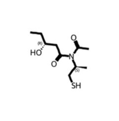 CC[C@@H](O)CC(=O)N(C(C)=O)[C@@H](C)CS